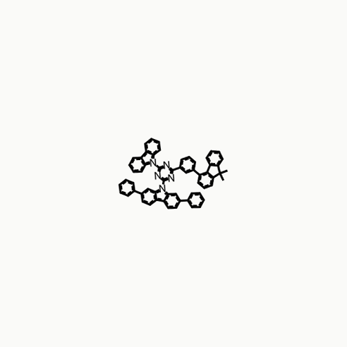 CC1(C)c2ccccc2-c2c(-c3cccc(-c4nc(-n5c6ccccc6c6ccccc65)nc(-n5c6cc(-c7ccccc7)ccc6c6ccc(-c7ccccc7)cc65)n4)c3)cccc21